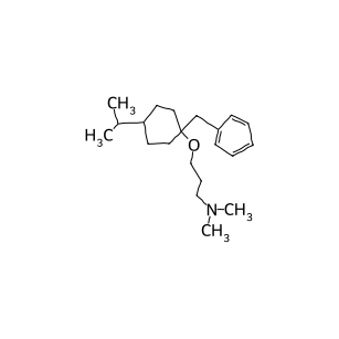 CC(C)C1CCC(Cc2ccccc2)(OCCCN(C)C)CC1